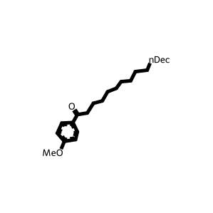 CCCCCCCCCCCCCCCCCCCC(=O)c1ccc(OC)cc1